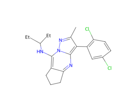 CCC(CC)Nc1c2c(nc3c(-c4cc(Cl)ccc4Cl)c(C)nn13)CCC2